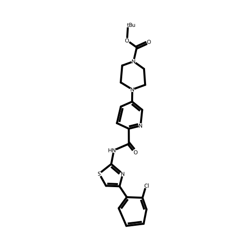 CC(C)(C)OC(=O)N1CCN(c2ccc(C(=O)Nc3nc(-c4ccccc4Cl)cs3)nc2)CC1